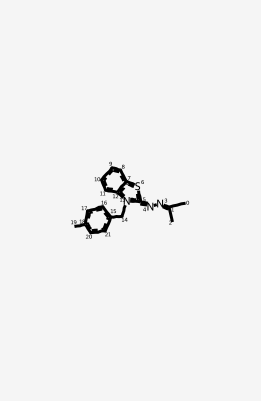 CC(C)=N/N=c1\sc2ccccc2n1Cc1ccc(C)cc1